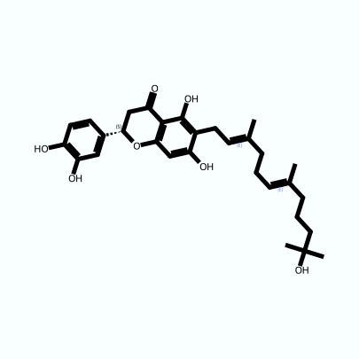 C/C(=C\Cc1c(O)cc2c(c1O)C(=O)C[C@@H](c1ccc(O)c(O)c1)O2)CC/C=C(\C)CCCC(C)(C)O